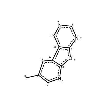 Cc1cnc2oc3ncncc3c2c1